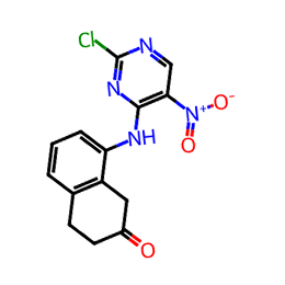 O=C1CCc2cccc(Nc3nc(Cl)ncc3[N+](=O)[O-])c2C1